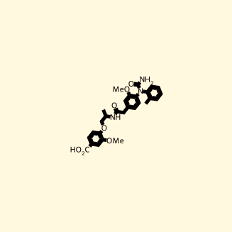 COc1cc(C(=O)O)ccc1OCC(C)NC(=O)Cc1ccc(N(C(N)=O)c2ccccc2C)c(OC)c1